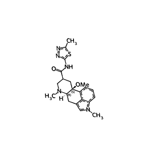 CO[C@]12CC(C(=O)Nc3nnc(C)s3)CN(C)[C@@H]1Cc1cn(C)c3cccc2c13